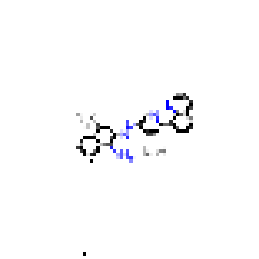 Nc1c(N=Nc2ccc(-c3cccc4cccnc34)nc2)cc(S(=O)(=O)O)c2ccccc12.[NaH]